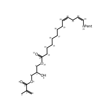 C=C(C)C(=O)OCC(O)COC(=O)CCCCCCC/C=C\C/C=C\CCCCC